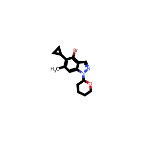 Cc1cc2c(cnn2C2CCCCO2)c(Br)c1C1CC1